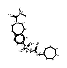 CN(C)C(=O)N1CCc2ccc(S(=O)(=O)NC(=O)NC3CCCCCC3)cc2CC1